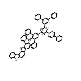 C1=CC(c2nc(-c3cc(-c4ccccc4)cc(-c4ccccc4)c3)nc(-c3cc(-c4ccccc4)c(-n4c5ccccc5c5c6sc7c(ccc8sc9ccccc9c87)c6ccc54)c(-c4ccccc4)c3)n2)CC=C1c1ccccc1